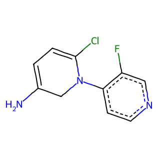 NC1=CC=C(Cl)N(c2ccncc2F)C1